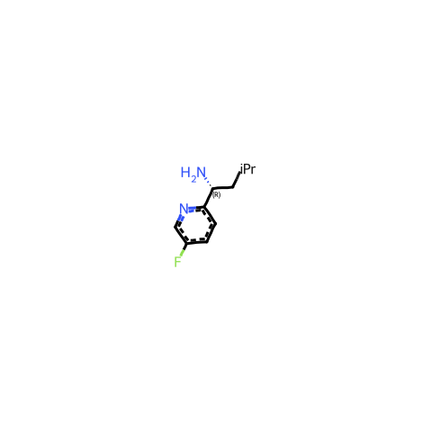 CC(C)C[C@@H](N)c1ccc(F)cn1